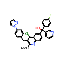 COc1nc2ccc(C(O)(c3ccc(F)cc3)c3cccnc3)cc2c(Cl)c1Cc1ccc(-n2cccn2)cc1